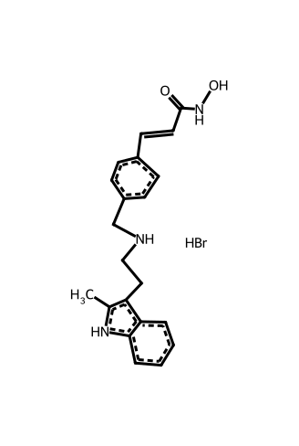 Br.Cc1[nH]c2ccccc2c1CCNCc1ccc(C=CC(=O)NO)cc1